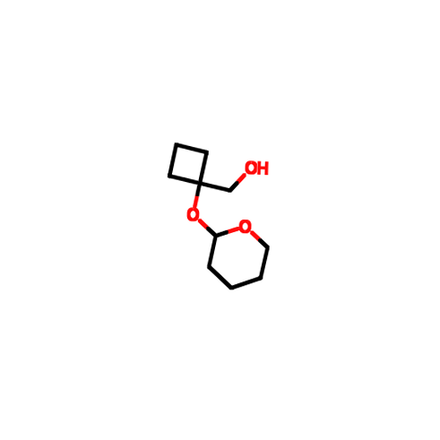 OCC1(OC2CCCCO2)CCC1